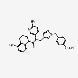 CC(C)c1ccc(N(Cc2cnn(Cc3ccc(C(=O)O)cc3)c2)C(=O)C2CCCc3c(O)cccc32)cn1